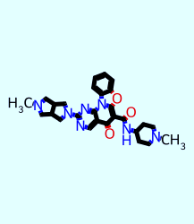 CN1CCC(NC(=O)c2c(=O)c3cnc(N4CC5CN(C)CC5C4)nc3n3c2oc2ccccc23)CC1